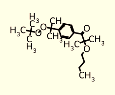 CCCCOC(C)(C)C(=O)c1ccc(C(C)(C)OOC(C)(C)C)cc1